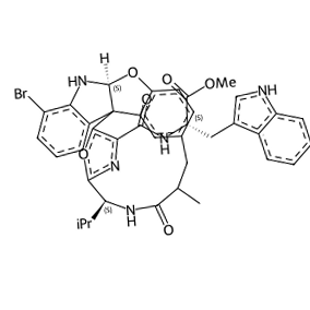 COC(=O)[C@H](Cc1c[nH]c2ccccc12)NC(=O)c1nc2oc1C13c4cc(ccc4O[C@@H]1Nc1c(Br)cccc13)CC(C)C(=O)N[C@H]2C(C)C